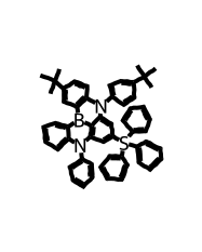 CC(C)(C)c1ccc(N2c3ccc(C(C)(C)C)cc3B3c4ccccc4N(c4ccccc4)c4cc(S(c5ccccc5)(c5ccccc5)c5ccccc5)cc2c43)cc1